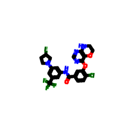 O=C(Nc1cc(N2CCC(F)C2)cc(C(F)(F)F)c1)c1ccc(Cl)c(Oc2ncnc3c2OCCN3)c1